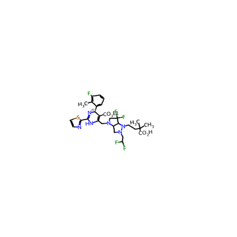 CCOC(=O)C1=C(CN2CC(F)(F)C3C2CN(CC(F)F)N3CCC(C)(C)C(=O)O)NC(c2nccs2)=N[C@H]1c1cccc(F)c1C